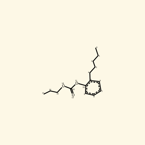 CCCCCc1ccccc1OC(=O)OCCC